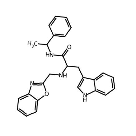 CC(NC(=O)C(Cc1c[nH]c2ccccc12)NCc1nc2ccccc2o1)c1ccccc1